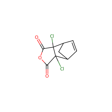 O=C1OC(=O)C2(Cl)C3C=CC(C3)C12Cl